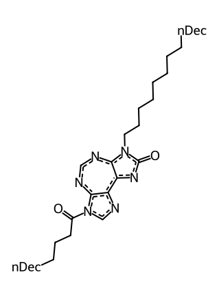 CCCCCCCCCCCCCCCCCCn1c2ncnc3c(ncn3C(=O)CCCCCCCCCCCCC)c-2nc1=O